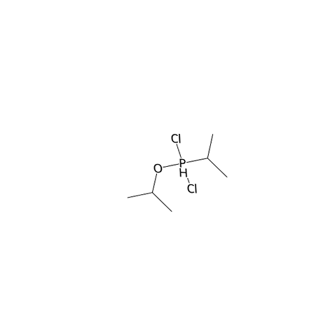 CC(C)O[PH](Cl)(Cl)C(C)C